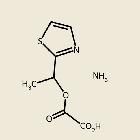 CC(OC(=O)C(=O)O)c1nccs1.N